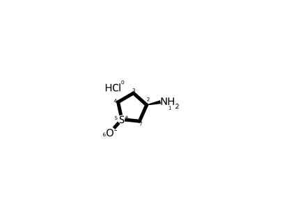 Cl.N[C@@H]1CC[S+]([O-])C1